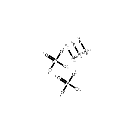 O=P([O-])([O-])[O-].O=P([O-])([O-])[O-].[F][Al+2].[F][Al+2].[F][Al+2]